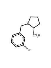 O=C(O)C1CCCN1Cc1cccc(Br)c1